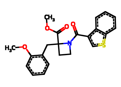 COC(=O)C1(Cc2ccccc2OC)CCN1C(=O)c1csc2ccccc12